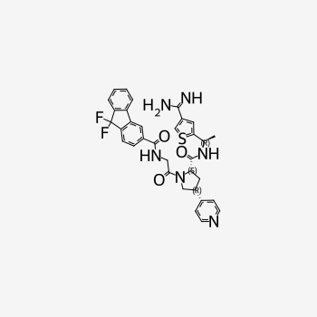 C[C@@H](NC(=O)[C@@H]1C[C@H](c2ccncc2)CN1C(=O)CNC(=O)c1ccc2c(c1)-c1ccccc1C2(F)F)c1cc(C(=N)N)cs1